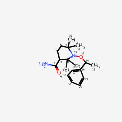 CCC1(CC)C(C(N)=O)[CH]CC(C)(C)N1OC(C)c1ccccc1